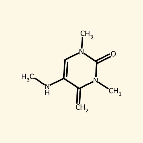 C=C1C(NC)=CN(C)C(=O)N1C